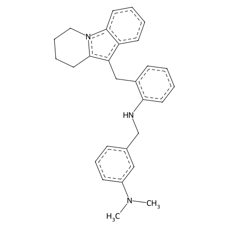 CN(C)c1cccc(CNc2ccccc2Cc2c3n(c4ccccc24)CCCC3)c1